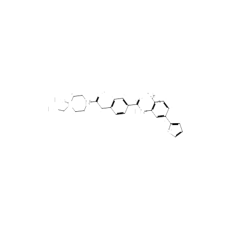 CC[P]1(O)CCN(C(=O)Cc2ccc(C(=O)Nc3cc(-c4cccs4)ccc3N)cc2)CC1